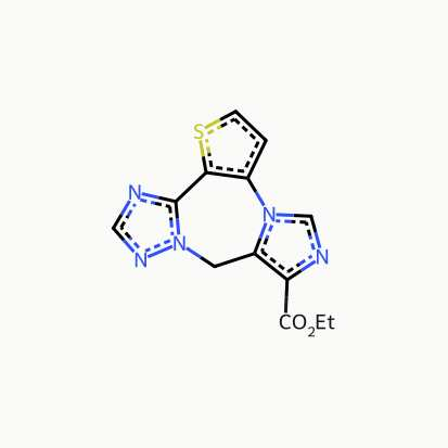 CCOC(=O)c1ncn2c1Cn1ncnc1-c1sccc1-2